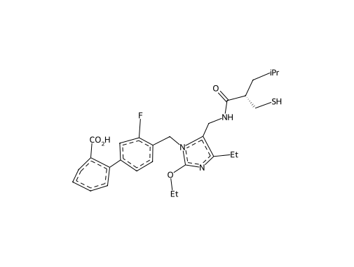 CCOc1nc(CC)c(CNC(=O)[C@@H](CS)CC(C)C)n1Cc1ccc(-c2ccccc2C(=O)O)cc1F